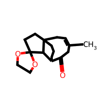 C/C1=C/CC23CCCC(C(=O)C1)C2C1(CC3)OCCO1